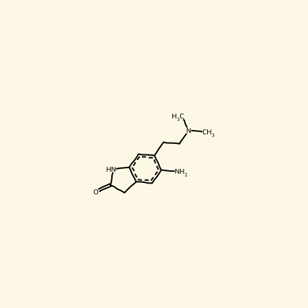 CN(C)CCc1cc2c(cc1N)CC(=O)N2